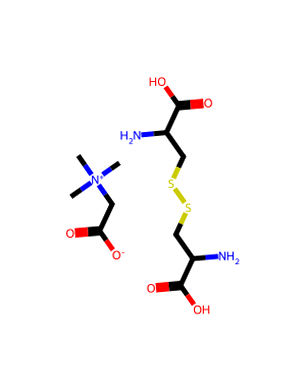 C[N+](C)(C)CC(=O)[O-].NC(CSSCC(N)C(=O)O)C(=O)O